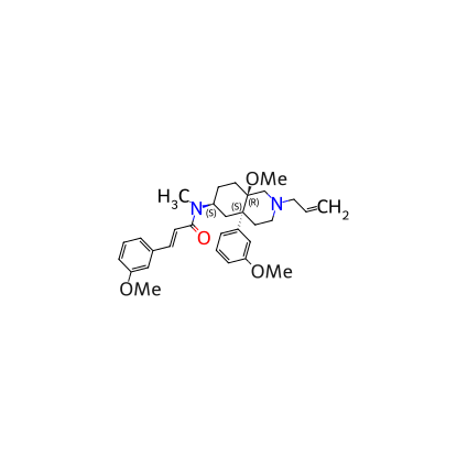 C=CCN1CC[C@@]2(c3cccc(OC)c3)C[C@@H](N(C)C(=O)C=Cc3cccc(OC)c3)CC[C@]2(OC)C1